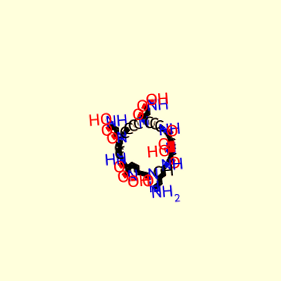 NCCCC[C@H]1CNC(=O)c2ccc(c(=O)n2O)C(=O)NCCCN(C(=O)CC(=O)NO)CCCCN(C(=O)CC(=O)NO)CCCNC(=O)c2ccc(n(O)c2=O)C(=O)N1